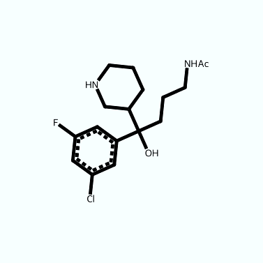 CC(=O)NCCCC(O)(c1cc(F)cc(Cl)c1)C1CCCNC1